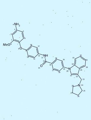 COc1cc(N)ccc1Oc1ccc(NC(=O)c2ccc(-n3cc(CN4CCCC4)c4ccccc43)cc2)cc1